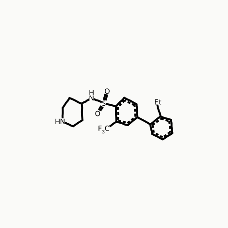 CCc1ccccc1-c1ccc(S(=O)(=O)NC2CCNCC2)c(C(F)(F)F)c1